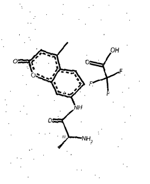 Cc1cc(=O)oc2cc(NC(=O)[C@H](C)N)ccc12.O=C(O)C(F)(F)F